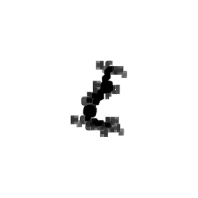 C[C@H](N)CCCc1cc(Cl)c(F)c(-c2cc3cn(-c4ccc([C@H](C)N(C=O)CCCNC(=N)N)cc4)c(=O)nc3[nH]2)c1